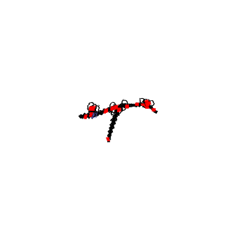 CCCCCCCCCCCCCCCC(=O)OC(COC(=O)CCCCCCC/C=C/C(CCCCCCC)C1CC(=O)OC1=O)COC(=O)CCCCCCCCC1C=CC(CCCCC)C2C(=O)OC(=O)C12